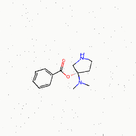 CN(C)[C@]1(OC(=O)c2ccccc2)CCNC1